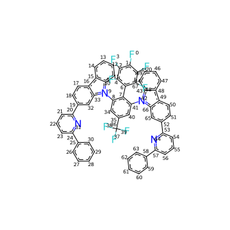 Fc1c(F)c(F)c(-c2c(-n3c4ccccc4c4ccc(-c5cccc(-c6ccccc6)n5)cc43)cc(C(F)(F)F)cc2-n2c3ccccc3c3ccc(-c4cccc(-c5ccccc5)n4)cc32)c(F)c1F